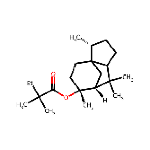 CCC(C)(C)C(=O)O[C@]1(C)CCC23C[C@@H]1C(C)(C)C2CC[C@H]3C